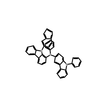 c1ccc(N(c2ccc3c(c2)c2ccccc2n3-c2ccccc2)c2cccc3c4ccccc4n(-c4ccc5ccccc5c4)c23)cc1